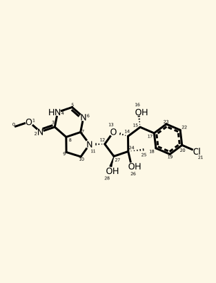 CO/N=C1\NC=NC2C1CCN2[C@@H]1O[C@H]([C@H](O)c2ccc(Cl)cc2)[C@@](C)(O)[C@H]1O